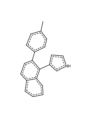 Cc1ccc(-c2ccc3ccccc3c2-c2cc[nH]c2)cc1